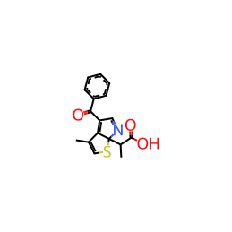 CC1=CSC2(C(C)C(=O)O)N=CC(C(=O)c3ccccc3)=C12